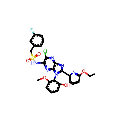 CCOC1=NC(c2nc3nc(Cl)c(NS(=O)(=O)Cc4cccc(F)c4)nc3n2-c2c(O)cccc2OC)=C=C=C1